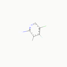 Cc1c(N)ncc(Cl)c1F